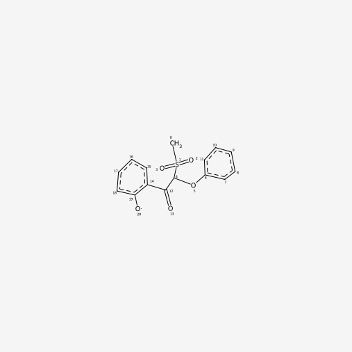 CS(=O)(=O)C(Oc1ccccc1)C(=O)c1ccccc1[O]